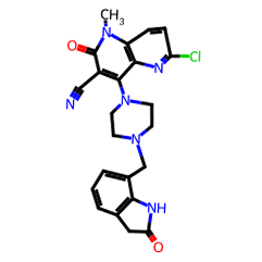 Cn1c(=O)c(C#N)c(N2CCN(Cc3cccc4c3NC(=O)C4)CC2)c2nc(Cl)ccc21